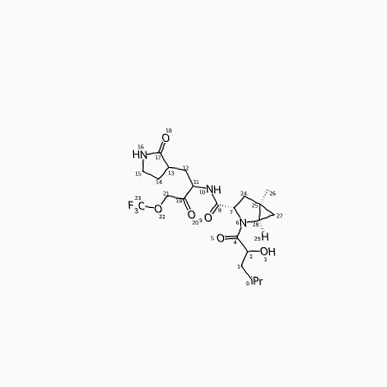 CC(C)CC(O)C(=O)N1[C@H](C(=O)NC(CC2CCNC2=O)C(=O)COC(F)(F)F)C[C@@]2(C)C[C@@H]12